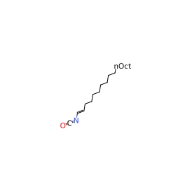 CCCCCCCCCCCCCCCC/C=C/N=C=O